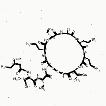 CCCCCC[C@H](CN)CC(=O)N[C@H](C(=O)N[C@@H](CN)C(=O)N[C@H]1CCNC(=O)[C@H]([C@@H](C)O)NC(=O)[C@H](CCN)NC(=O)[C@H](CCN)NC(=O)[C@H](CC)NC(=O)[C@@H](CC(C)C)NC(=O)[C@H](CCN)NC1=O)[C@@H](C)O